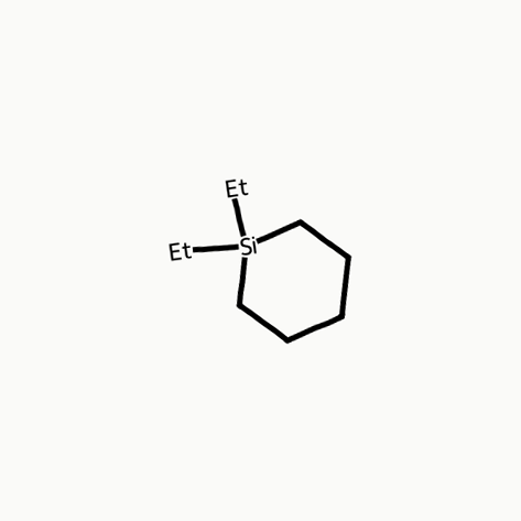 CC[Si]1(CC)CCCCC1